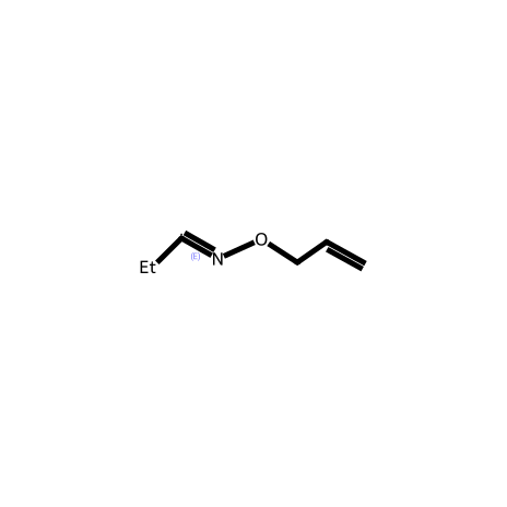 C=CCO/N=[C]/CC